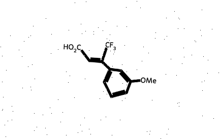 COc1cccc(C(=CC(=O)O)C(F)(F)F)c1